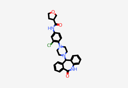 O=C1Nc2ccccc2C(N2CCN(c3ccc(NC(=O)C4CCOC4)cc3Cl)CC2)c2ccccc21